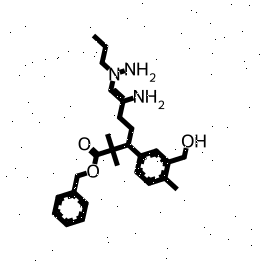 CCCN(N)/C=C(\N)CCC(c1ccc(C)c(CO)c1)C(C)(C)C(=O)OCc1ccccc1